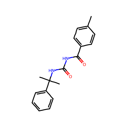 Cc1ccc(C(=O)NC(=O)NC(C)(C)c2ccccc2)cc1